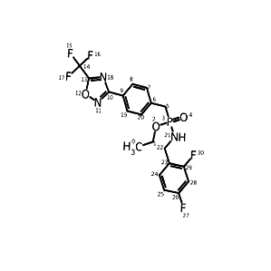 CCOP(=O)(Cc1ccc(-c2noc(C(F)(F)F)n2)cc1)NCc1ccc(F)cc1F